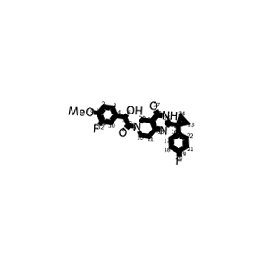 COc1ccc(C(O)C(=O)N2CCc3nc(C4(c5ccc(F)cc5)CC4)[nH]c(=O)c3C2)cc1F